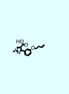 C=CCCOc1cccc(-c2nn(C)cc2C(=O)O)c1